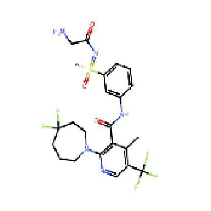 Cc1c(C(F)(F)F)cnc(N2CCCC(F)(F)CC2)c1C(=O)Nc1cccc([S@@](C)(=O)=NC(=O)CN)c1